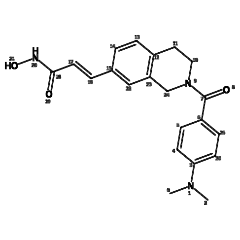 CN(C)c1ccc(C(=O)N2CCc3ccc(C=CC(=O)NO)cc3C2)cc1